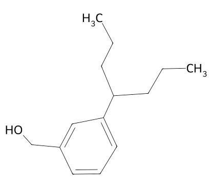 CCCC(CCC)c1cccc(CO)c1